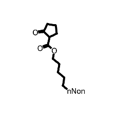 CCCCCCCCCCCCCCOC(=O)C1CCCC1=O